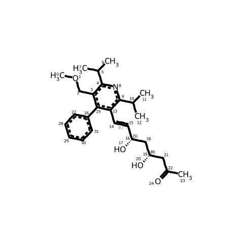 COCc1c(C(C)C)nc(C(C)C)c(/C=C/[C@@H](O)C[C@@H](O)CC(C)=O)c1-c1ccccc1